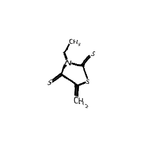 C=C1SC(=S)N(CC)C1=S